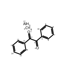 C.O=C(C(=O)c1ccccc1)c1ccccc1.[AlH3]